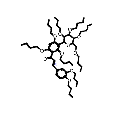 CCCCOCC1OC(c2c(OCCCC)cc(OCCCC)c(C(=O)/C=C/c3ccc(OCCCC)c(OCCCC)c3)c2OCCCC)C(OCCCC)C(OCCCC)C1OCCCC